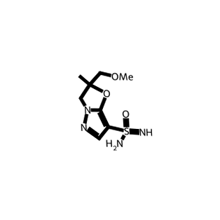 COCC1(C)Cn2ncc(S(=N)(N)=O)c2O1